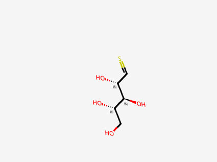 OC[C@H](O)[C@H](O)[C@H](O)C=S